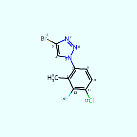 Cc1c(-n2cc(Br)nn2)ccc(Cl)c1F